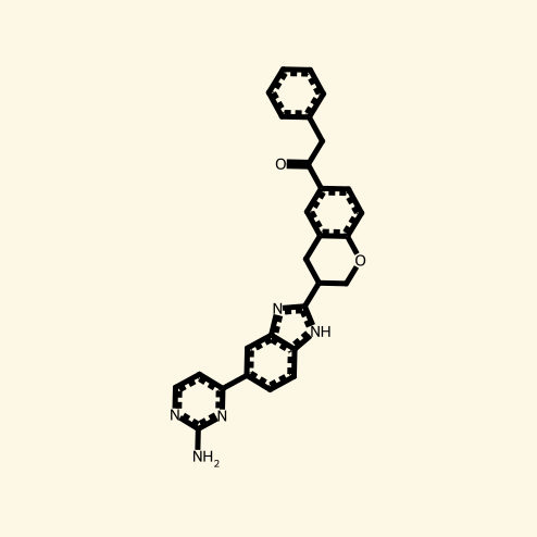 Nc1nccc(-c2ccc3[nH]c(C4COc5ccc(C(=O)Cc6ccccc6)cc5C4)nc3c2)n1